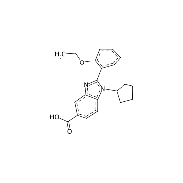 CCOc1ccccc1-c1nc2cc(C(=O)O)ccc2n1C1CCCC1